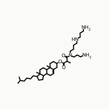 CC(C)CCCCC1CCC2C3CC=C4CC(OC(=O)C(C)C(=O)N(CCCN)CCCCNCCCN)CCC4(C)C3CCC12C